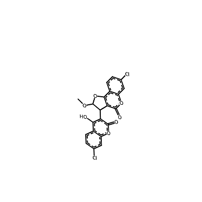 COC1Oc2c(c(=O)oc3cc(Cl)ccc23)C1c1c(O)c2ccc(Cl)cc2oc1=O